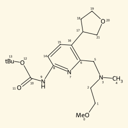 COCCN(C)Cc1nc(NC(=O)OC(C)(C)C)ccc1C1CCOC1